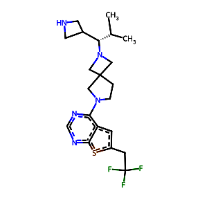 CC(C)[C@@H](C1CNC1)N1CC2(CCN(c3ncnc4sc(CC(F)(F)F)cc34)C2)C1